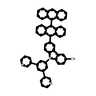 N#Cc1ccc2c(c1)c1cc(-c3c4ccccc4c(-c4c5ccccc5cc5ccccc45)c4ccccc34)ccc1n2-c1cc(-c2cccnc2)cc(-c2cccnc2)c1